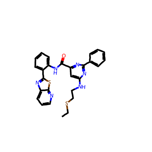 CCSCCNc1cc(C(=O)Nc2ccccc2-c2nc3cccnc3s2)nc(-c2ccccc2)n1